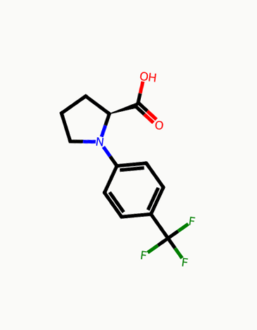 O=C(O)[C@@H]1CCCN1c1ccc(C(F)(F)F)cc1